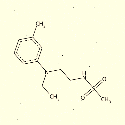 CCN(CCNS(C)(=O)=O)c1cccc(C)c1